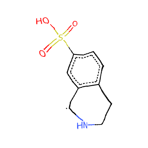 O=S(=O)(O)c1ccc2c(c1)[CH]NCC2